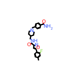 Cc1ccc(-c2cc(C(=O)NCC3CCN(Cc4ccc(C(N)=O)cc4)CC3)no2)c(F)c1